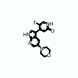 O=c1cc(-c2c[nH]c3ncc(N4CCOCC4)cc23)c(F)c[nH]1